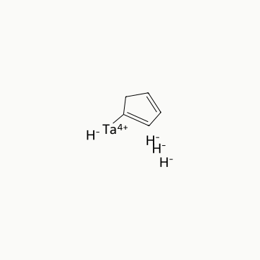 [H-].[H-].[H-].[H-].[Ta+4][C]1=CC=CC1